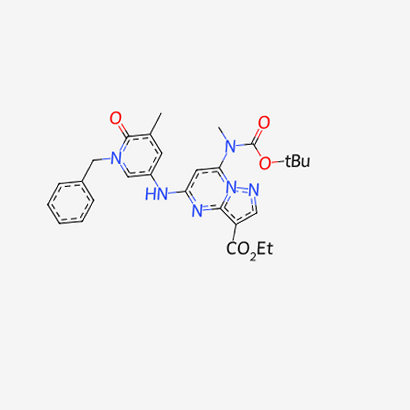 CCOC(=O)c1cnn2c(N(C)C(=O)OC(C)(C)C)cc(Nc3cc(C)c(=O)n(Cc4ccccc4)c3)nc12